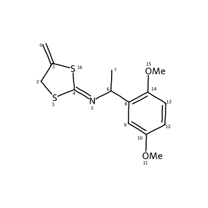 C=C1CSC(=NC(C)c2cc(OC)ccc2OC)S1